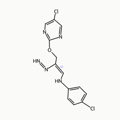 N=N/C(=C\Nc1ccc(Cl)cc1)COc1ncc(Cl)cn1